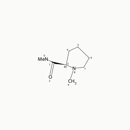 CNC(=O)[C@H]1CCCCN1C